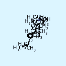 CCSC(C)(C)CCOc1cccc(C(C)(C)[C@H](NC)C(=O)NC(C(=O)N(C)[C@H](/C=C(\C)C(=O)O)C(C)C)C(C)(C)C)c1